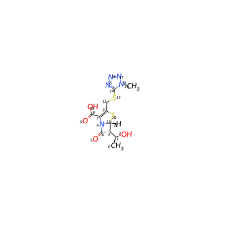 C[C@H](O)[C@@H]1C(=O)N2C(C(=O)O)=C(CSc3nnnn3C)S[C@H]12